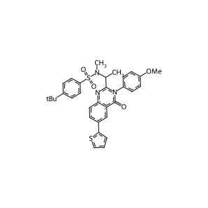 COc1ccc(-n2c(C(C)N(C)S(=O)(=O)c3ccc(C(C)(C)C)cc3)nc3ccc(-c4cccs4)cc3c2=O)cc1